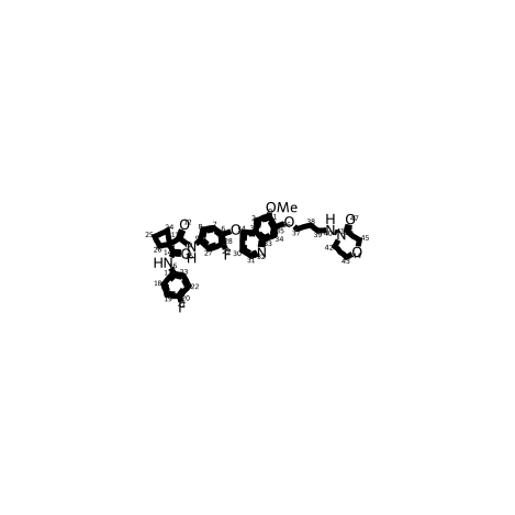 COc1cc2c(Oc3ccc(NC(=O)C4(C(=O)Nc5ccc(F)cc5)CCC4)cc3F)ccnc2cc1OCCCNN1CCOCC1=O